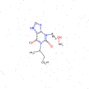 CC(CC(=O)O)n1c(=O)c2[nH]cnc2n(C)c1=O.O[SiH3]